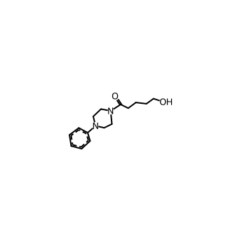 O=C(CCCCO)N1CCN(c2ccccc2)CC1